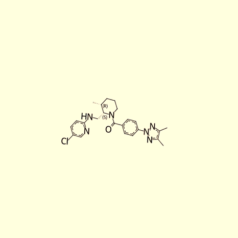 Cc1nn(-c2ccc(C(=O)N3CCC[C@@H](C)[C@H]3CNc3ccc(Cl)cn3)cc2)nc1C